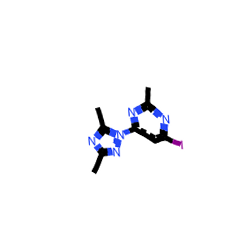 Cc1nc(I)cc(-n2nc(C)nc2C)n1